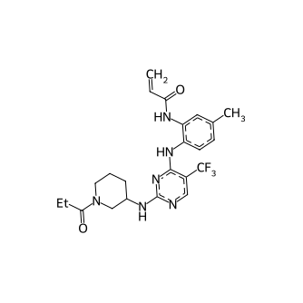 C=CC(=O)Nc1cc(C)ccc1Nc1nc(NC2CCCN(C(=O)CC)C2)ncc1C(F)(F)F